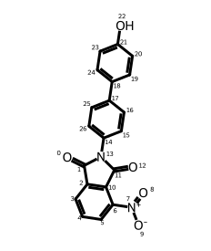 O=C1c2cccc([N+](=O)[O-])c2C(=O)N1c1ccc(-c2ccc(O)cc2)cc1